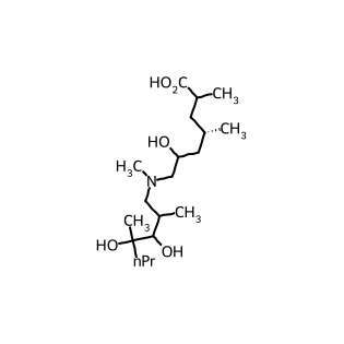 CCCC(C)(O)C(O)C(C)CN(C)CC(O)C[C@@H](C)CC(C)C(=O)O